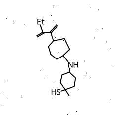 C=C(CC)C(=C)C1CCCC(NC2CCC(C)(S)CC2)CC1